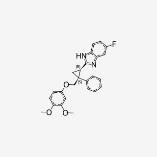 COc1ccc(OC[C@@]2(c3ccccc3)C[C@H]2c2nc3cc(F)ccc3[nH]2)cc1OC